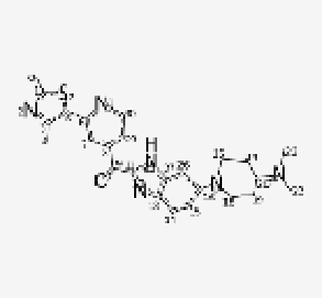 Cc1nc(C)c(-c2cc(C(=O)c3nc4ccc(N5CCC(N(C)C)CC5)cc4[nH]3)ccn2)s1